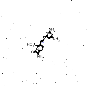 Nc1cc(S/C=C/C2=C(C(=O)O)N3C(=O)C(N)C3SC2)nc(N)n1